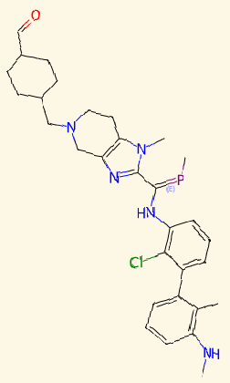 CNc1cccc(-c2cccc(N/C(=P/C)c3nc4c(n3C)CCN(CC3CCC(C=O)CC3)C4)c2Cl)c1C